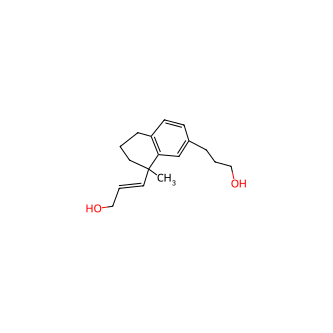 CC1(C=CCO)CCCc2ccc(CCCO)cc21